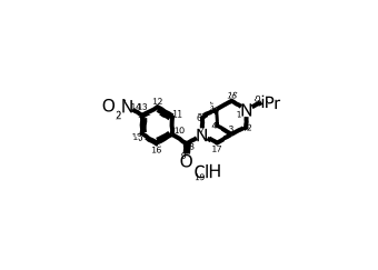 CC(C)N1CC2CC(CN(C(=O)c3ccc([N+](=O)[O-])cc3)C2)C1.Cl